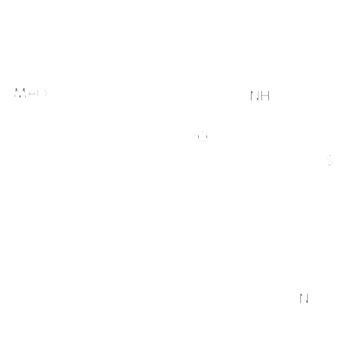 COc1ccc(CC(=O)Nc2csc(-c3ccncc3)c2)cc1